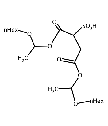 CCCCCCOC(C)OC(=O)CC(C(=O)OC(C)OCCCCCC)S(=O)(=O)O